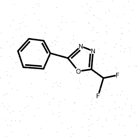 FC(F)c1nnc(-c2ccccc2)o1